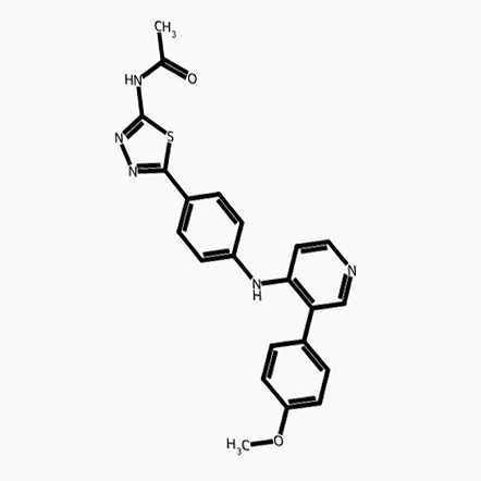 COc1ccc(-c2cnccc2Nc2ccc(-c3nnc(NC(C)=O)s3)cc2)cc1